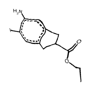 CCOC(=O)C1Cc2cc(N)c(I)cc2C1